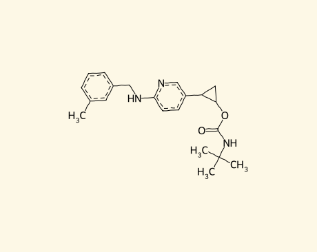 Cc1cccc(CNc2ccc(C3CC3OC(=O)NC(C)(C)C)cn2)c1